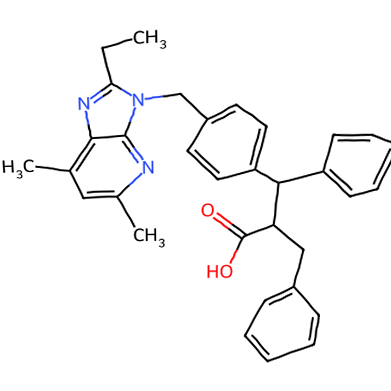 CCc1nc2c(C)cc(C)nc2n1Cc1ccc(C(c2ccccc2)C(Cc2ccccc2)C(=O)O)cc1